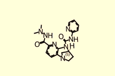 CN(C)NC(=O)c1ccc2c(n1)N(C(=O)Nc1ccccn1)[C@H]1CCN2C1